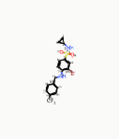 O=S(=O)(NC1CC1)c1ccc(NCc2ccc(C(F)(F)F)cc2)c(Br)c1